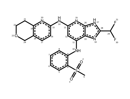 CS(=O)(=O)c1ccccc1Nc1cc(Nc2ccc3c(n2)CCOC3)nc2[nH]c(C(F)F)nc12